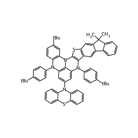 CC(C)(C)c1ccc(N2c3ccc(C(C)(C)C)cc3B3c4sc5cc6c(cc5c4N(c4ccc(C(C)(C)C)cc4)c4cc(N5c7ccccc7Sc7ccccc75)cc2c43)-c2ccccc2C6(C)C)cc1